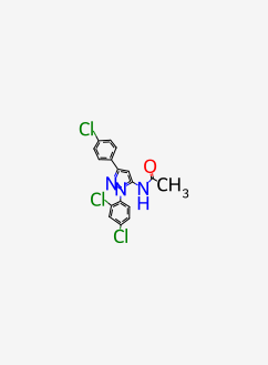 CC(=O)Nc1cc(-c2ccc(Cl)cc2)nn1-c1ccc(Cl)cc1Cl